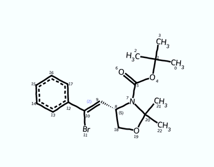 CC(C)(C)OC(=O)N1[C@@H](/C=C(\Br)c2ccccc2)COC1(C)C